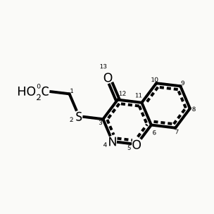 O=C(O)CSc1noc2ccccc2c1=O